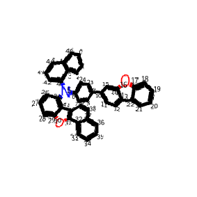 c1ccc2c(N(c3ccc(-c4ccc5c(c4)oc4ccccc45)cc3)c3cccc4oc5c6ccccc6ccc5c34)cccc2c1